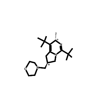 C[C@@H]1N=C(C(C)(C)C)N2C[C@@H](CN3CCOCC3)CC2=C1C(C)(C)C